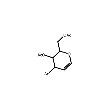 CC(=O)OCC1OC=CC(C(C)=O)C1OC(C)=O